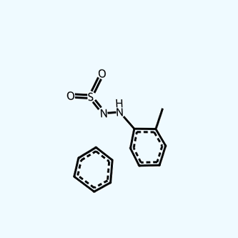 Cc1ccccc1NN=S(=O)=O.c1ccccc1